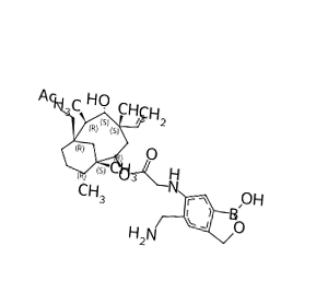 C=C[C@]1(C)C[C@@H](OC(=O)CNc2cc3c(cc2CN)COB3O)[C@@]2(C)C[C@](CCC(C)=O)(CC[C@H]2C)[C@@H](C)[C@@H]1O